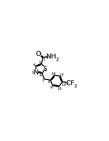 NC(=O)c1cnc(Cc2ccc(C(F)(F)F)cc2)s1